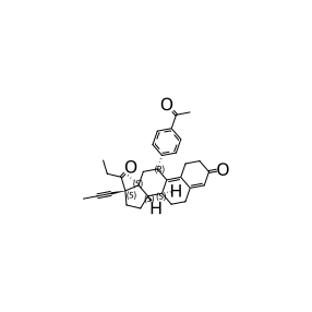 CC#C[C@]1(C(=O)CC)CC[C@H]2[C@@H]3CCC4=CC(=O)CCC4=C3[C@@H](c3ccc(C(C)=O)cc3)C[C@@]21C